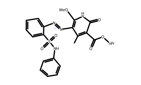 CCCOC(=O)c1c(C)c(/N=N/c2ccccc2S(=O)(=O)Nc2ccccc2)c(OC)[nH]c1=O